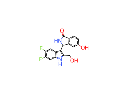 O=C1NC(c2c(CO)[nH]c3cc(F)c(F)cc23)c2cc(O)ccc21